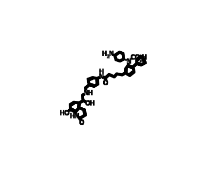 N[C@H]1CC[C@H](N(C(=O)O)c2cc(CCCCC(=O)Nc3ccc(CNCC(O)c4ccc(O)c5[nH]c(=O)ccc45)cc3)ccc2-c2ccccc2)CC1